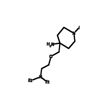 CCN(CC)CCOCC1(N)CCN(I)CC1